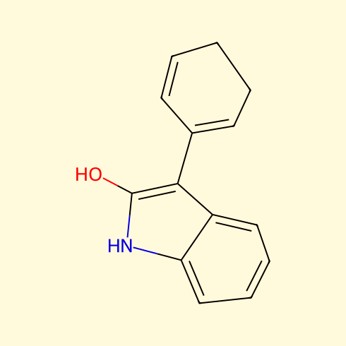 Oc1[nH]c2ccccc2c1C1=CCCC=C1